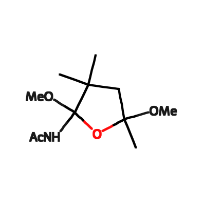 COC1(C)CC(C)(C)C(NC(C)=O)(OC)O1